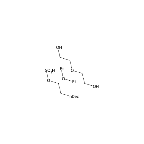 CCCCCCCCCCCCOS(=O)(=O)O.CCOCC.OCCOCCO